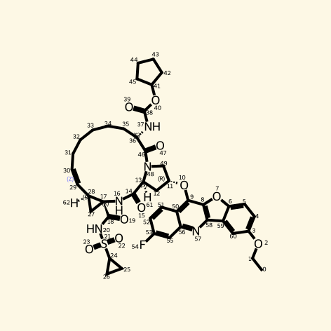 CCOc1ccc2oc3c(O[C@@H]4C[C@H]5C(=O)N[C@]6(C(=O)NS(=O)(=O)C7CC7)C[C@H]6/C=C\CCCCC[C@H](NC(=O)OC6CCCC6)C(=O)N5C4)c4ccc(F)cc4nc3c2c1